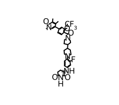 Cc1c(-c2ccc(C(=O)N3CCC(C4CCN(c5ccc(N[C@H]6CCC(=O)NC6=O)cc5F)CC4)CC3)c(OC(F)(F)F)c2)cn(C)c(=O)c1C